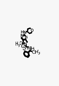 CC(NC(=O)N1Cc2nc(NC3CCOCC3)ncc2C1(C)C)c1ccccc1